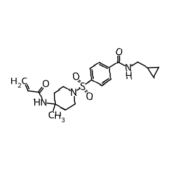 C=CC(=O)NC1(C)CCN(S(=O)(=O)c2ccc(C(=O)NCC3CC3)cc2)CC1